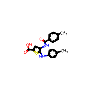 Cc1ccc(Nc2sc(C(=O)O)cc2NC(=O)c2ccc(C)cc2)cc1